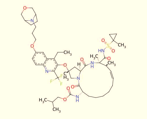 CCc1c(O[C@]2(C)C[C@H]3C(=O)N[C@@](C)(C(=O)NS(=O)(=O)C4(C)CC4)[C@@H](C)/C=C\CCCCC[C@H](NC(=O)OCC(C)C)C(=O)N3C2)c(C(F)(F)F)nc2ccc(OCCCN3C4CCC3COC4)cc12